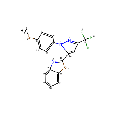 CSc1ccc(-n2nc(C(F)(F)F)cc2-c2nc3ccccc3s2)cc1